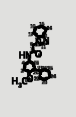 COc1ccc(NC(=O)Cn2cnc3ccccc32)cc1-c1ccccc1